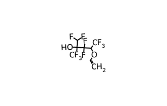 C=COC(C(F)(F)F)C(F)(F)C(O)(C(F)F)C(F)(F)F